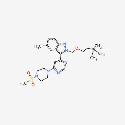 Cc1ccc2nn(COCC[Si](C)(C)C)c(-c3cc(N4CCN(S(C)(=O)=O)CC4)ncn3)c2c1